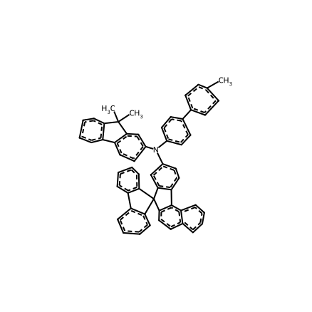 Cc1ccc(-c2ccc(N(c3ccc4c(c3)C(C)(C)c3ccccc3-4)c3ccc4c(c3)C3(c5ccccc5-c5ccccc53)c3ccc5ccccc5c3-4)cc2)cc1